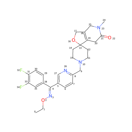 CCON=C(c1ccc(CN2CCC3(CC2)OCC2=C3CC(=O)N(C)C2)nc1)c1ccc(F)c(F)c1